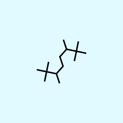 CC(CCC(C)C(C)(C)C)C(C)(C)C